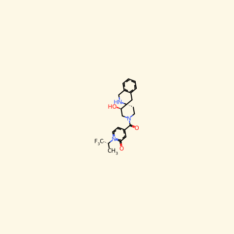 C[C@@H](n1ccc(C(=O)N2CC[C@]3(Cc4ccccc4CN3)[C@H](O)C2)cc1=O)C(F)(F)F